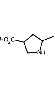 CC1CC(C(=O)O)CN1